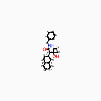 O=C(NCc1ccccc1)C(c1ccc2ccccc2c1)C1(O)CCC1